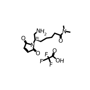 CN(C)C(=O)CCCC[C@H](CN)N1C(=O)C=CC1=O.O=C(O)C(F)(F)F